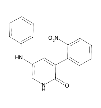 O=c1[nH]cc(Nc2ccccc2)cc1-c1ccccc1[N+](=O)[O-]